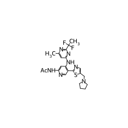 CC(=O)Nc1cc(Nc2cc(C)nc(C(C)(F)F)n2)c(-c2ncc(CN3CCCC3)s2)cn1